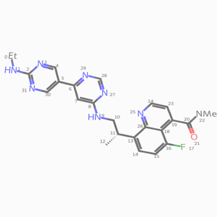 CCNc1ncc(-c2cc(NC[C@@H](C)c3ccc(F)c4c(C(=O)NC)ccnc34)ncn2)cn1